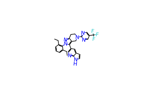 CCc1cccc(CC)c1-n1nc2c(c1-c1cnc3[nH]ccc3c1)CN(c1ncc(C(F)(F)F)cn1)CC2